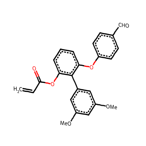 C=CC(=O)Oc1cccc(Oc2ccc(C=O)cc2)c1-c1cc(OC)cc(OC)c1